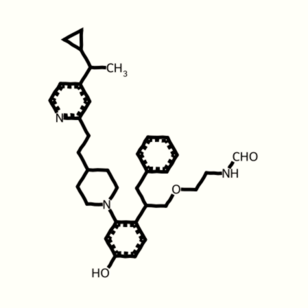 CC(c1ccnc(CCC2CCN(c3cc(O)ccc3C(COCCNC=O)Cc3ccccc3)CC2)c1)C1CC1